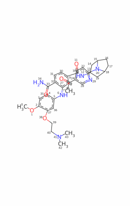 COc1ccc(Nc2cc(C(=O)NC3CC4CCC(C3)N4c3ccc(C(C)=O)cn3)ccc2C(N)=O)cc1OCCN(C)C